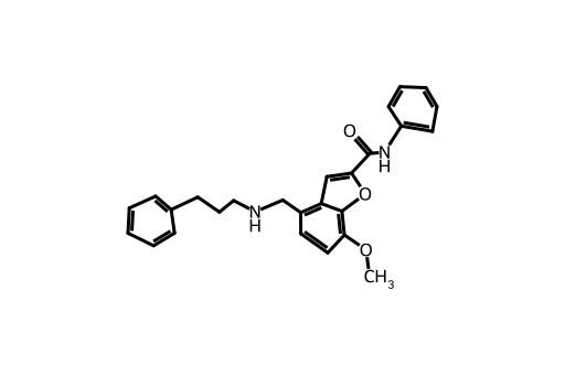 COc1ccc(CNCCCc2ccccc2)c2cc(C(=O)Nc3ccccc3)oc12